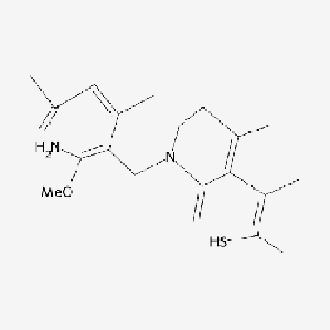 C=C(C)/C=C(C)\C(CN1CCC(C)=C(/C(C)=C(/C)S)C1=C)=C(/N)OC